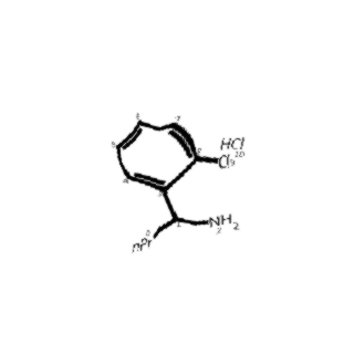 CCCC(N)c1ccccc1Cl.Cl